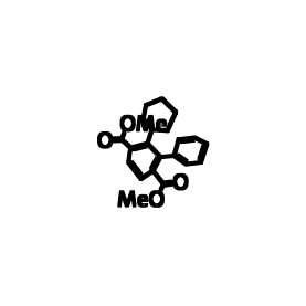 COC(=O)c1ccc(C(=O)OC)c(C2CCCCC2)c1-c1ccccc1